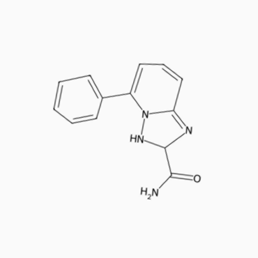 NC(=O)C1N=C2C=CC=C(c3ccccc3)N2N1